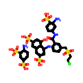 Nc1cc(NC(=O)c2cccc(CS(=O)(=O)CCCl)c2)ccc1S(=O)(=O)O.Nc1cc(S(=O)(=O)O)cc2cc(S(=O)(=O)O)cc(O)c12.Nc1ccc(S(=O)(=O)O)cc1S(=O)(=O)O